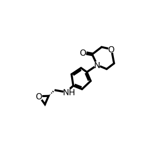 O=C1COCCN1c1ccc(NC[C@@H]2CO2)cc1